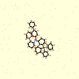 C1=CCC(c2ccccc2N(c2ccc(-c3ccccc3)cc2)c2ccc3c(c2)C(c2ccccc2)(c2ccccc2)c2ccccc2-3)C=C1